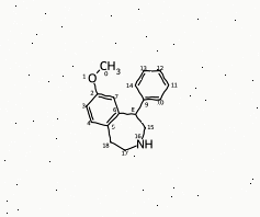 COc1ccc2c(c1)C(c1ccccc1)CNCC2